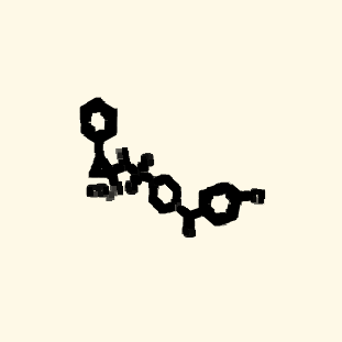 O=C(c1ccc(Cl)cc1)N1CCN(S(=O)(=O)NC2(C(=O)O)CC2c2ccccc2)CC1